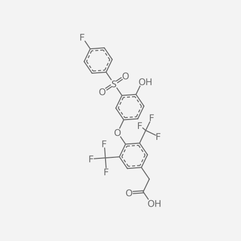 O=C(O)Cc1cc(C(F)(F)F)c(Oc2ccc(O)c(S(=O)(=O)c3ccc(F)cc3)c2)c(C(F)(F)F)c1